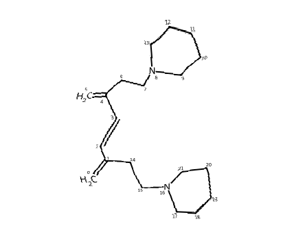 C=C(C=CC(=C)CCN1CCCCC1)CCN1CCCCC1